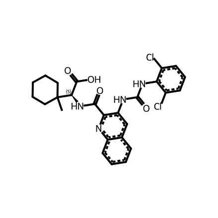 CC1([C@H](NC(=O)c2nc3ccccc3cc2NC(=O)Nc2c(Cl)cccc2Cl)C(=O)O)CCCCC1